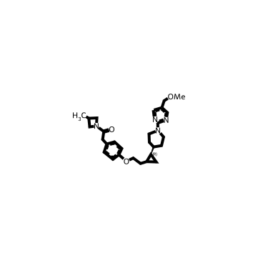 COCc1cnc(N2CCC([C@H]3CC3CCOc3ccc(CC(=O)N4CC(C)C4)cc3)CC2)nc1